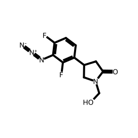 [N-]=[N+]=Nc1c(F)ccc(C2CC(=O)N(CO)C2)c1F